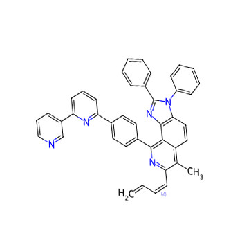 C=C/C=C\c1nc(-c2ccc(-c3cccc(-c4cccnc4)n3)cc2)c2c(ccc3c2nc(-c2ccccc2)n3-c2ccccc2)c1C